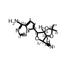 [CH2][C@]1(C#N)OC(c2ccc3c(N)ncnn23)[C@@H]2OC(C)(C)O[C@@H]21